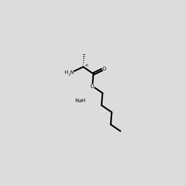 CCCCCOC(=O)[C@@H](C)N.[NaH]